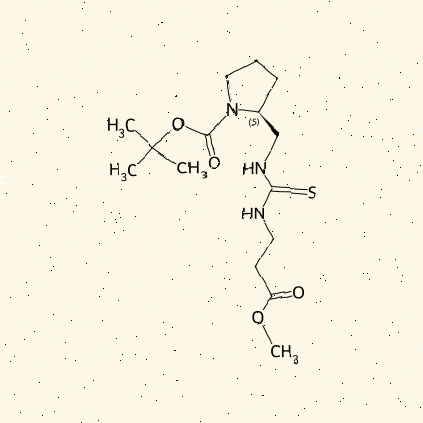 COC(=O)CCNC(=S)NC[C@@H]1CCCN1C(=O)OC(C)(C)C